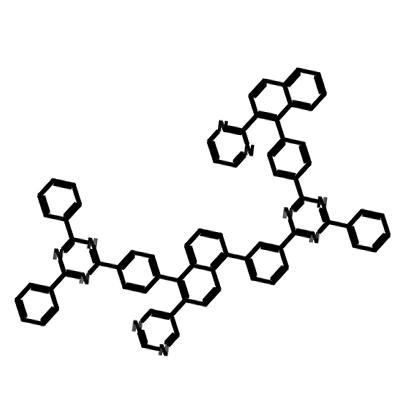 c1ccc(-c2nc(-c3ccccc3)nc(-c3ccc(-c4c(-c5cncnc5)ccc5c(-c6cccc(-c7nc(-c8ccccc8)nc(-c8ccc(-c9c(-c%10ncccn%10)ccc%10ccccc9%10)cc8)n7)c6)cccc45)cc3)n2)cc1